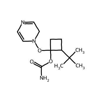 CC(C)(C)C1CCC1(OC(N)=O)ON1C=CN=CC1